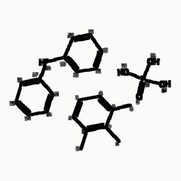 Cc1cccc(C)c1C.O=P(O)(O)O.c1ccc(Pc2ccccc2)cc1